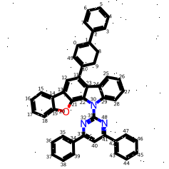 C1=C(c2ccccc2)CCC(c2cc3c4ccccc4oc3c3c2c2ccccc2n3-c2nc(-c3ccccc3)cc(-c3ccccc3)n2)=C1